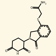 NC(=O)CSc1cccc2c1CN(C1CCC(=O)NC1=O)C2=O